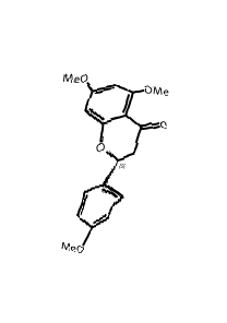 COc1ccc([C@@H]2CC(=O)c3c(OC)cc(OC)cc3O2)cc1